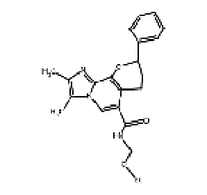 CCOCNC(=O)c1cn2c(C)c(C)nc2c2c1CCC(c1ccccc1)O2